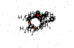 C=C1C[C@@H]2C[C@@H]3CC(=C)C[C@H](/C=C/C(C)(C)[C@]4(OC)O[C@@H](C/C(=C\C(=O)OC)C4=O)C[C@H]([C@@H](C)OCOCc4ccccc4)OC(=O)C[C@H](OP)C[C@H](C1)O2)O3